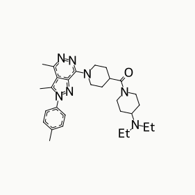 CCN(CC)C1CCN(C(=O)C2CCN(c3nnc(C)c4c(C)n(-c5ccc(C)cc5)nc34)CC2)CC1